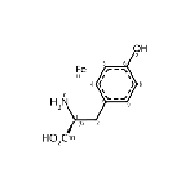 N[C@@H](Cc1ccc(O)cc1)C(=O)O.[Fe]